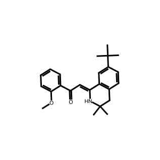 COc1ccccc1C(=O)/C=C1\NC(C)(C)Cc2ccc(C(C)(C)C)cc21